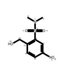 CN(C)S(=O)(=O)c1cc([N+](=O)[O-])ccc1CO